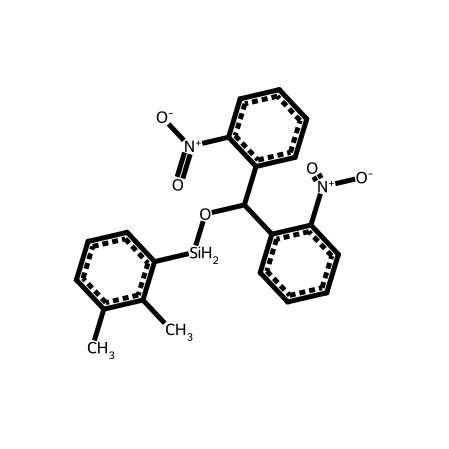 Cc1cccc([SiH2]OC(c2ccccc2[N+](=O)[O-])c2ccccc2[N+](=O)[O-])c1C